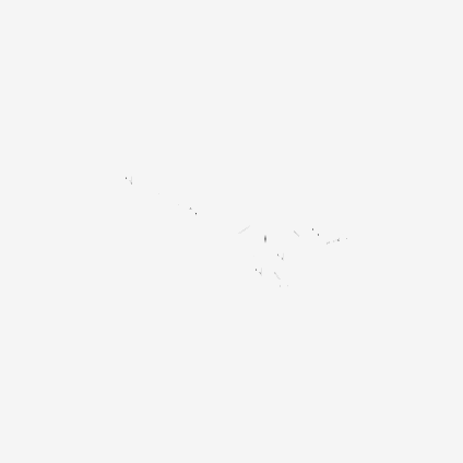 CN1C(=O)N(C2CCC(=O)NC2=O)C2=CC=C(C3CCN(C4CC5(CCNCC5)C4)CC3)CC21